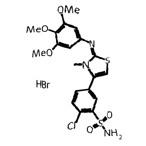 Br.COc1cc(N=c2scc(-c3ccc(Cl)c(S(N)(=O)=O)c3)n2C)cc(OC)c1OC